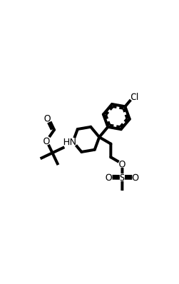 CC(C)(C)OC=O.CS(=O)(=O)OCCC1(c2ccc(Cl)cc2)CCNCC1